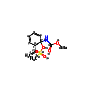 C=C[C@@H]1C=CC=CC1(NC(=O)OC(C)(C)C)OS(C)(=O)=O